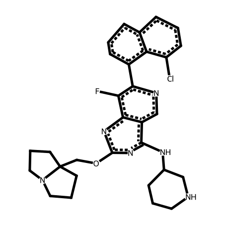 Fc1c(-c2cccc3cccc(Cl)c23)ncc2c(NC3CCCNC3)nc(OCC34CCCN3CCC4)nc12